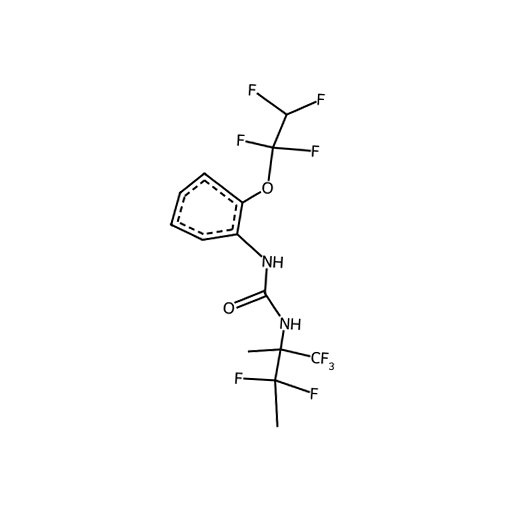 CC(F)(F)C(C)(NC(=O)Nc1ccccc1OC(F)(F)C(F)F)C(F)(F)F